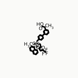 Cc1ccc2ccccc2c1S(=O)(=O)N(Cc1ccc(-c2cccc([C@@H](C)C(=O)O)c2)cc1)Cc1ccc(C(F)(F)F)o1